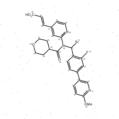 [2H]C(c1ccc(-c2ccc(OC)nc2)cc1F)N(C(=O)C1CCOCC1)c1cc(C=CC(=O)O)ccn1